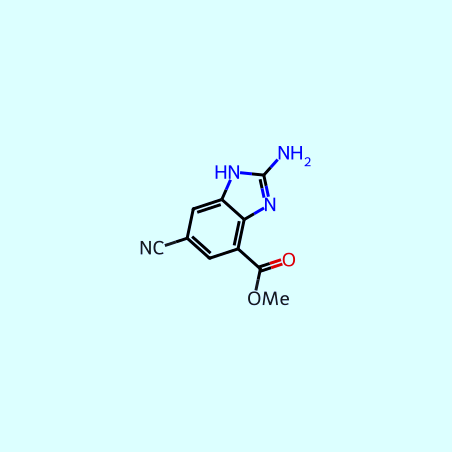 COC(=O)c1cc(C#N)cc2[nH]c(N)nc12